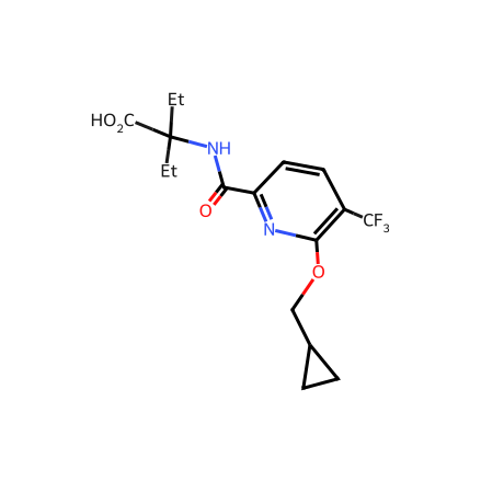 CCC(CC)(NC(=O)c1ccc(C(F)(F)F)c(OCC2CC2)n1)C(=O)O